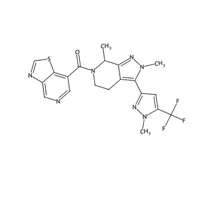 CC1c2nn(C)c(-c3cc(C(F)(F)F)n(C)n3)c2CCN1C(=O)c1cncc2ncsc12